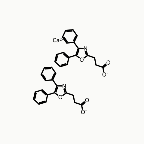 O=C([O-])CCc1nc(-c2ccccc2)c(-c2ccccc2)o1.O=C([O-])CCc1nc(-c2ccccc2)c(-c2ccccc2)o1.[Ca+2]